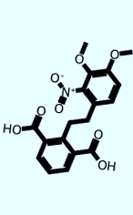 COc1ccc(CCc2c(C(=O)O)cccc2C(=O)O)c([N+](=O)[O-])c1OC